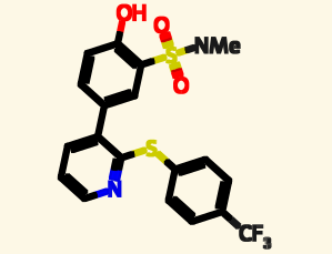 CNS(=O)(=O)c1cc(-c2cccnc2Sc2ccc(C(F)(F)F)cc2)ccc1O